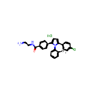 Cl.NCCNC(=O)c1ccc(-c2ccc(-c3ccc(Cl)cc3)n2-c2ccccc2C(F)(F)F)cc1